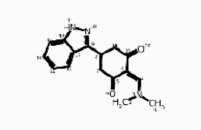 CN(C)C=C1C(=O)CC(c2n[nH]c3ccccc23)CC1=O